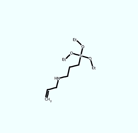 C=CCNCCC[Si](OCC)(OCC)OCC